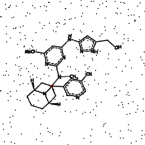 COc1cc(Nc2cc(CO)[nH]n2)nc(N(C)C2C[C@H]3CCC[C@@H](C2)N3Cc2cncc(C#N)c2)n1